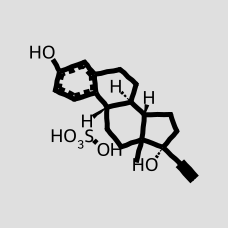 C#C[C@]1(O)CC[C@H]2[C@@H]3CCc4cc(O)ccc4[C@H]3CCC21C.O=S(=O)(O)O